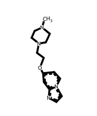 CN1CCN(CCOc2ccn3ccnc3c2)CC1